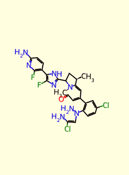 C[C@@H]1CC(c2nc(F)c(-c3ccc(N)nc3F)[nH]2)N(C)/C1=C\C(=C/C=O)c1cc(Cl)ccc1N(N)/C=C(\N)Cl